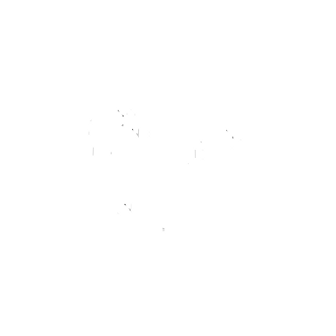 O=NO.O=NO.O=NO.c1ccncc1